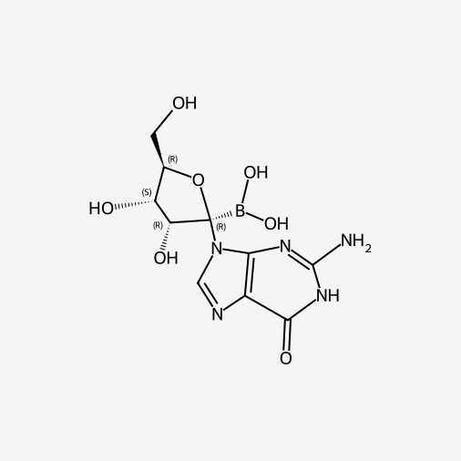 Nc1nc2c(ncn2[C@]2(B(O)O)O[C@H](CO)[C@@H](O)[C@H]2O)c(=O)[nH]1